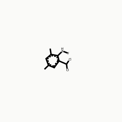 Cc1cc(C)c(BF)c(C(Cl)Cl)c1